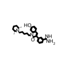 C[C@@H]1CCC[C@H](C)N1CCCCCn1c(=O)c(-c2cccc(C(=N)N)c2)cc2ccc(O)cc21